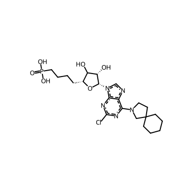 O=P(O)(O)CCCC[C@H]1O[C@@H](n2cnc3c(N4CCC5(CCCCC5)C4)nc(Cl)nc32)[C@@H](O)C1O